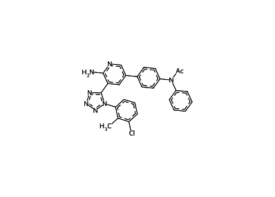 CC(=O)N(c1ccccc1)c1ccc(-c2cnc(N)c(-c3nnnn3-c3cccc(Cl)c3C)c2)cc1